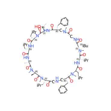 CC[C@H](C)[C@H]1C(=O)NCC(=O)N(C)C[C@@H](Cc2ccccc2)C(=O)N[C@@H]([C@@H](C)O)C(=O)N(C)[C@@H](CC(C)C)C(=O)N[C@@H](CC(C)C)C(=O)N[C@@H](C)C(=O)N(C)[C@H](C)C(=O)N(C)[C@@H](CC(C)C)C(=O)CNC[C@@H](Cc2ccccc2)C(=O)N(C)C(CC(C)C)C(=O)N[C@@H](C(C)C)C(=O)N1C